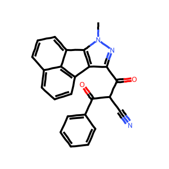 Cn1nc(C(=O)C(C#N)C(=O)c2ccccc2)c2c1-c1cccc3cccc-2c13